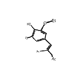 CCOc1cc(C=C(C(C)=O)C(C)=O)cc(Cl)c1O